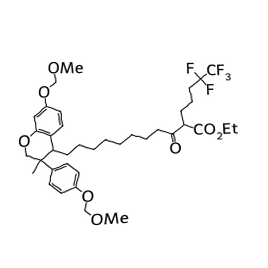 CCOC(=O)C(CCCC(F)(F)C(F)(F)F)C(=O)CCCCCCCCC1c2ccc(OCOC)cc2OCC1(C)c1ccc(OCOC)cc1